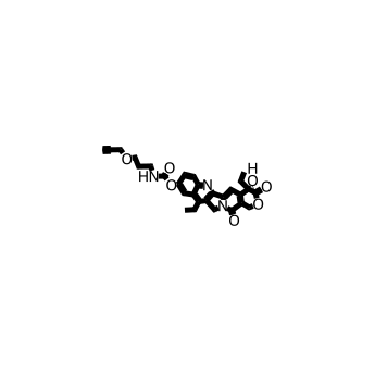 C#CCOCCCNC(=O)Oc1ccc2nc3c(c(CC)c2c1)Cn1c-3cc2c(c1=O)COC(=O)[C@]2(O)CC